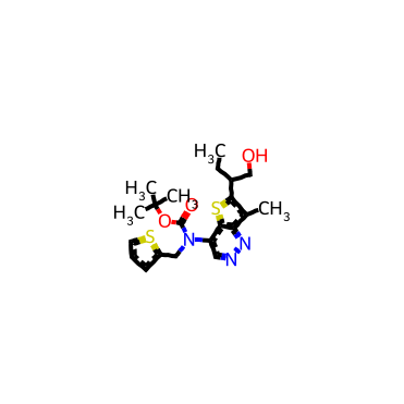 CCC(CO)c1sc2c(N(Cc3cccs3)C(=O)OC(C)(C)C)cnnc2c1C